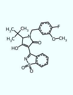 COc1cc(CN2C(=O)C(C3=NS(=O)(=O)c4ccccc43)=C(O)C2C(C)(C)C)ccc1F